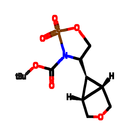 CC(C)(C)OC(=O)N1C([C@@H]2[C@@H]3COC[C@@H]32)COS1(=O)=O